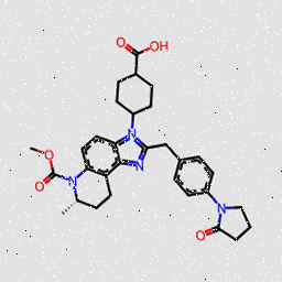 COC(=O)N1c2ccc3c(nc(Cc4ccc(N5CCCC5=O)cc4)n3C3CCC(C(=O)O)CC3)c2CC[C@@H]1C